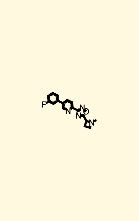 CN1CCC1c1nc(-c2ccc(-c3cccc(F)c3)cn2)no1